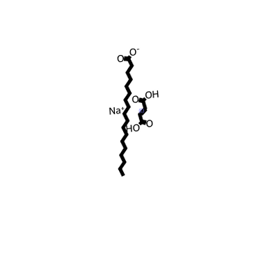 CCCCCCCCCCCCCCCCCC(=O)[O-].O=C(O)/C=C/C(=O)O.[Na+]